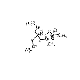 COCC(COC)(COC)NCCS(C)(=O)=O